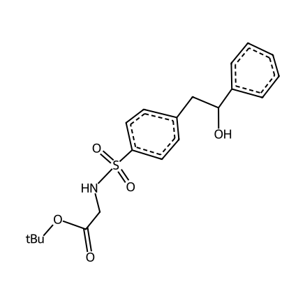 CC(C)(C)OC(=O)CNS(=O)(=O)c1ccc(CC(O)c2ccccc2)cc1